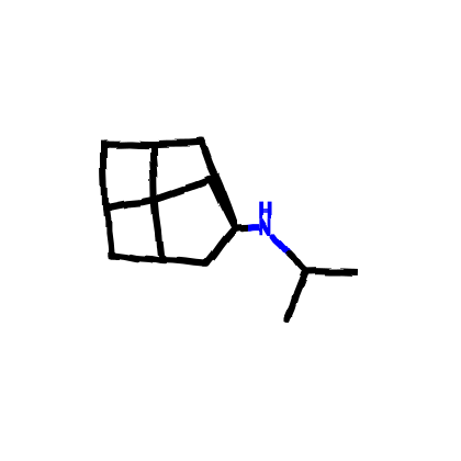 CC(C)NC12CC3CC4CC(C1)C43C2